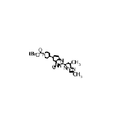 Cc1cn2nc(-c3nc4ccc(C5=CCN(C(=O)OC(C)(C)C)CC5)cc4[n+]([O-])n3)cc(C)c2n1